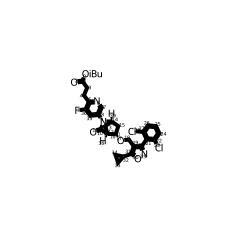 CC(C)COC(=O)CCc1ncc(N2C(=O)[C@@H]3C[C@H]2C[C@H]3OCc2c(-c3c(Cl)cccc3Cl)noc2C2CC2)cc1F